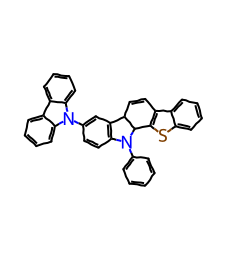 C1=CC2c3cc(-n4c5ccccc5c5ccccc54)ccc3N(c3ccccc3)C2c2sc3ccccc3c21